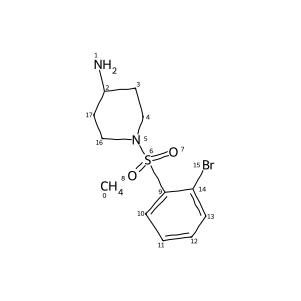 C.NC1CCN(S(=O)(=O)c2ccccc2Br)CC1